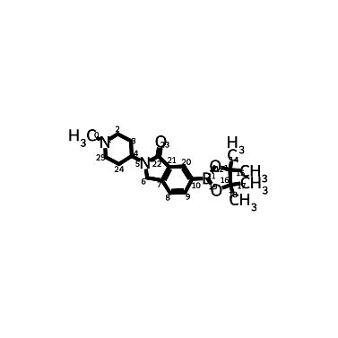 CN1CCC(N2Cc3ccc(B4OC(C)(C)C(C)(C)O4)cc3C2=O)CC1